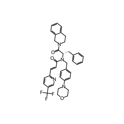 O=C([C@H](Cc1ccccc1)N(Cc1ccc(N2CCOCC2)cc1)C(=O)/C=C/c1ccc(C(F)(F)F)cn1)N1CCc2ccccc2C1